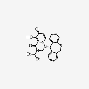 CCC(CC)N1CN(C2c3ccccc3CSc3ccccc32)n2ccc(=O)c(O)c2C1=O